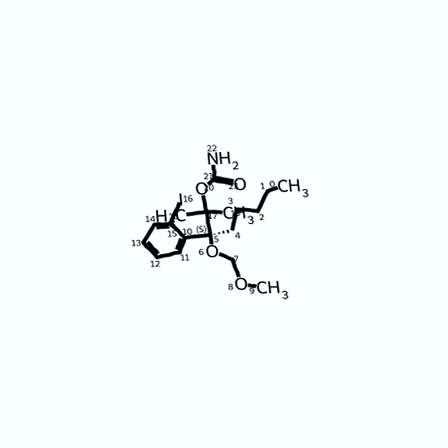 CCCCC[C@](OCOC)(c1ccccc1I)C(C)(C)OC(N)=O